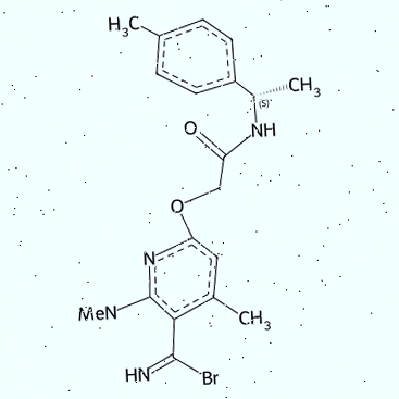 CNc1nc(OCC(=O)N[C@@H](C)c2ccc(C)cc2)cc(C)c1C(=N)Br